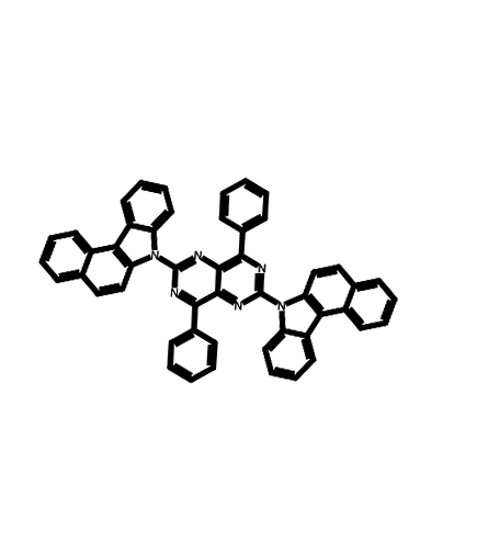 c1ccc(-c2nc(-n3c4ccccc4c4c5ccccc5ccc43)nc3c(-c4ccccc4)nc(-n4c5ccccc5c5c6ccccc6ccc54)nc23)cc1